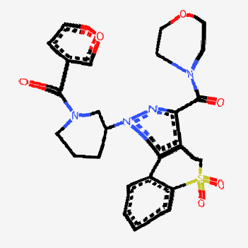 O=C(c1ccoc1)N1CCCC(n2nc(C(=O)N3CCOCC3)c3c2-c2ccccc2S(=O)(=O)C3)C1